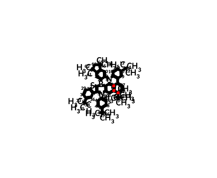 CC(C)(C)c1ccc(-c2cc(C(C)(C)C)ccc2N2c3cc4c(cc3B3c5sc6ccc(C(C)(C)C)cc6c5N(c5ccc(C(C)(C)C)cc5)c5cc(C(C)(C)C)nc2c53)C(C)(C)CC4(C)C)cc1